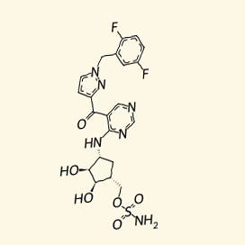 NS(=O)(=O)OC[C@H]1C[C@@H](Nc2ncncc2C(=O)c2ccn(Cc3cc(F)ccc3F)n2)[C@H](O)[C@@H]1O